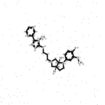 COc1cc(N2CC[C@@H]3CN(CCCSc4nnc(-c5cnccn5)n4C)C[C@@H]32)ccc1F